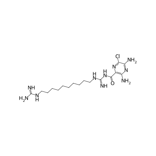 N=C(N)NCCCCCCCCCCNC(=N)NC(=O)c1nc(Cl)c(N)nc1N